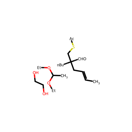 C/C=C/CC(C=O)(CCCC)CSC(C)=O.CCOC(C)OCC.OCCO